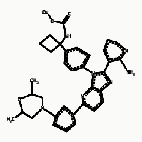 CC1CN(c2cccc(-c3ccc4nc(-c5cccnc5N)n(-c5ccc(C6(NC(=O)OC(C)(C)C)CCC6)cc5)c4n3)c2)CC(C)O1